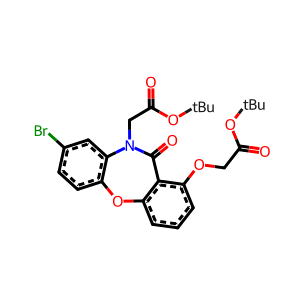 CC(C)(C)OC(=O)COc1cccc2c1C(=O)N(CC(=O)OC(C)(C)C)c1cc(Br)ccc1O2